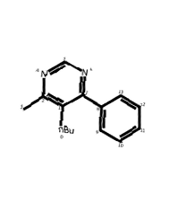 CCCCc1c(C)ncnc1-c1ccccc1